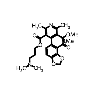 COC(=O)c1c(-c2c(C(=O)OC)c(C)nc(C)c2C(=O)OCCCN(C)C)ccc2c1OCO2